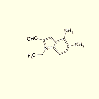 Nc1ccc2c(cc(C=O)n2CC(F)(F)F)c1N